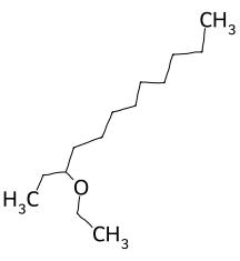 CCCCCCCCCC(CC)OCC